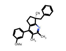 COc1cccc(-c2c(C)c(C)nc3c2CC[C@@]3(C#N)Cc2ccccc2)c1